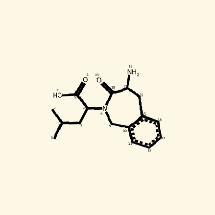 CC(C)CC(C(=O)O)N1Cc2ccccc2CC(N)C1=O